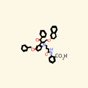 O=C(CCCn1c(COc2ccc3ccccc3c2)c(C(=O)c2ccccc2)c2cc(OCc3ccccc3)ccc21)Nc1ccccc1C(=O)O